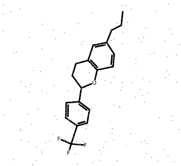 CCCc1ccc2c(c1)CCC(c1ccc(C(F)(F)F)cc1)O2